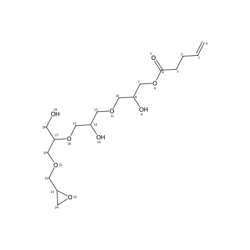 C=CCCC(=O)OCC(O)COCC(O)COC(CO)COCC1CO1